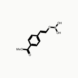 COC(=O)c1ccc(/C=C/OB(O)O)cc1